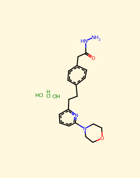 Cl.Cl.Cl.NNC(=O)Cc1ccc(CCc2cccc(N3CCOCC3)n2)cc1